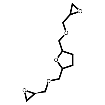 C(OCC1CCC(COC[C@H]2CO2)O1)C1CO1